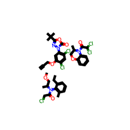 C#CCOc1cc(-n2nc(C(C)(C)C)oc2=O)c(Cl)cc1Cl.CC1COc2ccccc2N1C(=O)C(Cl)Cl.CCc1cccc(C)c1N(C(=O)CCl)C(C)COC